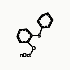 CCCCCCCCOc1ccccc1Sc1ccccc1